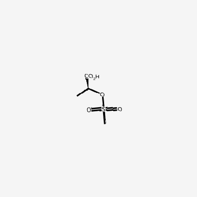 C[C@H](OS(C)(=O)=O)C(=O)O